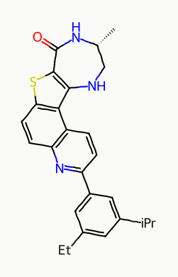 CCc1cc(-c2ccc3c(ccc4sc5c(c43)NC[C@@H](C)NC5=O)n2)cc(C(C)C)c1